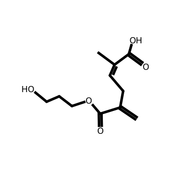 C=C(CC=C(C)C(=O)O)C(=O)OCCCO